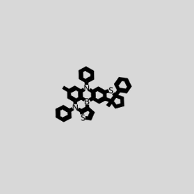 Cc1cc2c3c(c1)N(c1ccccc1)c1sccc1B3c1cc3c(cc1N2c1ccccc1)SC1(c2ccccc2)CCCC31C